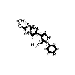 COc1nn2cc(-c3cnn(-c4ccccc4)c3C)nc2s1